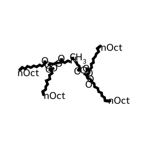 CCCCCCCC/C=C\CCCCCCCC(=O)OCC(COC(=O)CCCN(C)CCCC(=O)OCC(COC(=O)CCCCCCC/C=C\CCCCCCCC)OC(=O)CCCCCCC/C=C\CCCCCCCC)OC(=O)CCCCCCC/C=C\CCCCCCCC